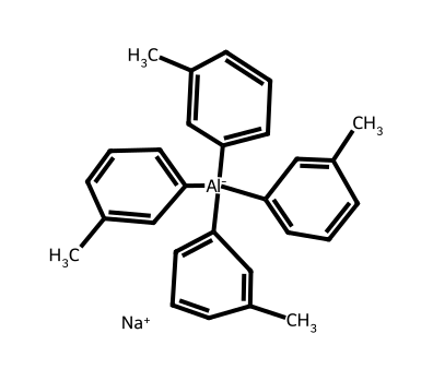 Cc1ccc[c]([Al-]([c]2cccc(C)c2)([c]2cccc(C)c2)[c]2cccc(C)c2)c1.[Na+]